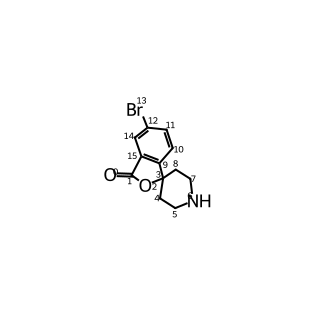 O=C1OC2(CCNCC2)c2ccc(Br)cc21